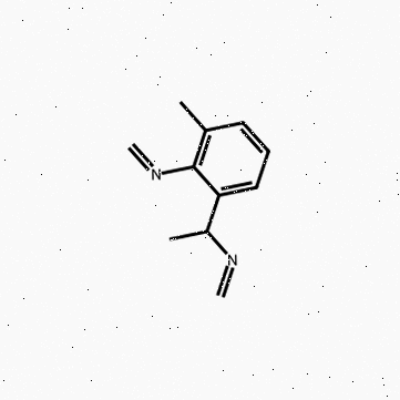 C=Nc1c(C)cccc1C(C)N=C